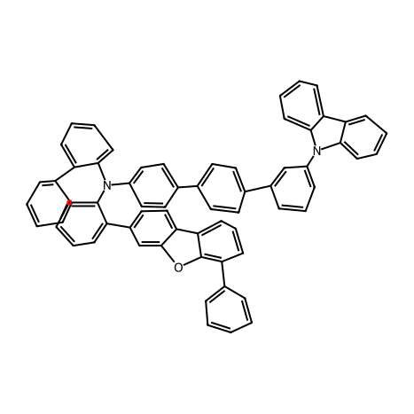 c1ccc(-c2ccccc2N(c2ccc(-c3ccc(-c4cccc(-n5c6ccccc6c6ccccc65)c4)cc3)cc2)c2ccccc2-c2ccc3c(c2)oc2c(-c4ccccc4)cccc23)cc1